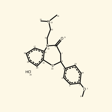 COc1ccc(C2CC(=O)N(CCN(C)C)c3ccccc3S2)cc1.Cl